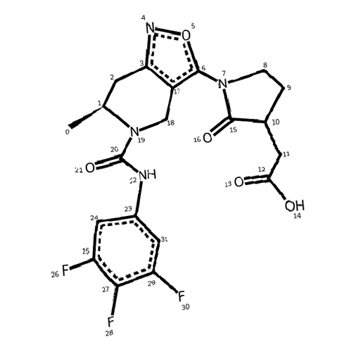 C[C@H]1Cc2noc(N3CCC(CC(=O)O)C3=O)c2CN1C(=O)Nc1cc(F)c(F)c(F)c1